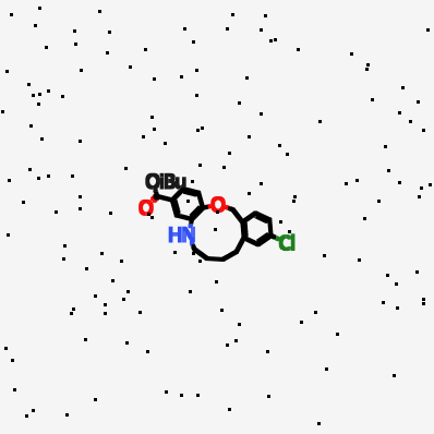 CC(C)COC(=O)c1ccc2c(c1)NCCCCc1cc(Cl)ccc1CO2